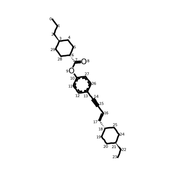 CCC[C@H]1CC[C@H](C(=O)Oc2ccc(C#CC=C[C@H]3CC[C@H](CC)CC3)cc2)CC1